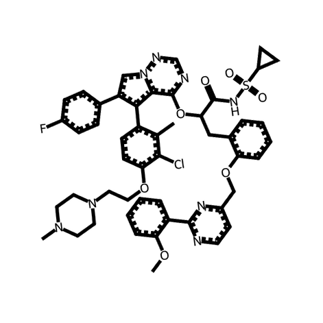 COc1ccccc1-c1nccc(COc2ccccc2CC(Oc2ncnn3cc(-c4ccc(F)cc4)c(-c4ccc(OCCN5CCN(C)CC5)c(Cl)c4C)c23)C(=O)NS(=O)(=O)C2CC2)n1